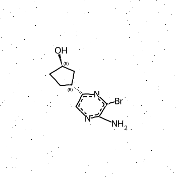 Nc1ncc([C@@H]2CC[C@@H](O)C2)nc1Br